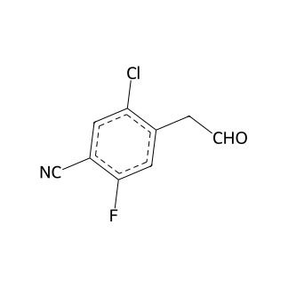 N#Cc1cc(Cl)c(CC=O)cc1F